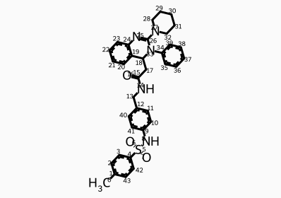 Cc1ccc(S(=O)(=O)Nc2ccc(CNC(=O)CC3c4ccccc4N=C(N4CCCCC4)N3c3ccccc3)cc2)cc1